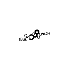 CC(C)(C)OC(=O)N1CCCC2(CC1)CC(=O)c1c(OCCO)cccc1O2